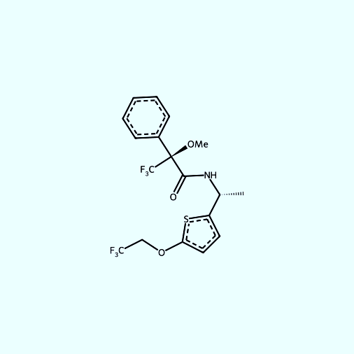 CO[C@](C(=O)N[C@H](C)c1ccc(OCC(F)(F)F)s1)(c1ccccc1)C(F)(F)F